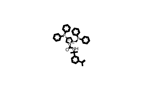 C=C(C)c1cccc(C(C)(C)NC(=O)N2C[C@@H](P(c3ccccc3)c3ccccc3)C[C@H]2CP(c2ccccc2)c2ccccc2)c1